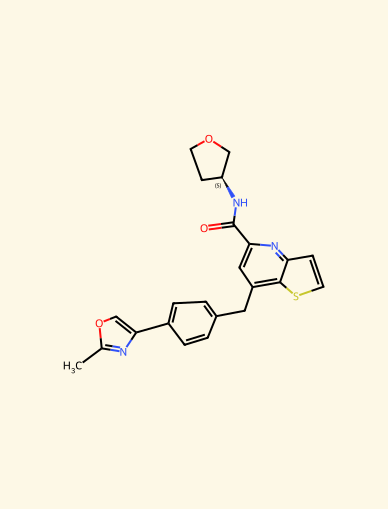 Cc1nc(-c2ccc(Cc3cc(C(=O)N[C@H]4CCOC4)nc4ccsc34)cc2)co1